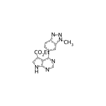 CCOC(=O)c1c[nH]c2ncnc(-c3ccc4nnn(C)c4c3)c12